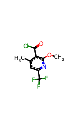 COc1nc(C(F)(F)F)cc(C)c1C(=O)Cl